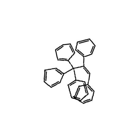 C(=C(c1ccccc1)C(c1ccccc1)(c1ccccc1)c1ccccc1)c1ccccc1